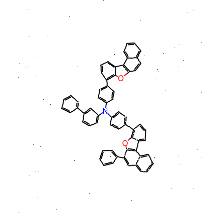 c1ccc(-c2cccc(N(c3ccc(-c4cccc5c4oc4ccc6ccccc6c45)cc3)c3ccc(-c4cccc5c4oc4c(-c6ccccc6)cc6ccccc6c45)cc3)c2)cc1